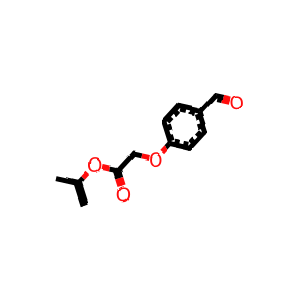 C=C(C)OC(=O)COc1ccc(C=O)cc1